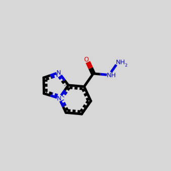 NNC(=O)c1cccn2ccnc12